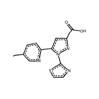 Cc1ccc(-c2cc(C(=O)O)nn2-c2nccs2)nc1